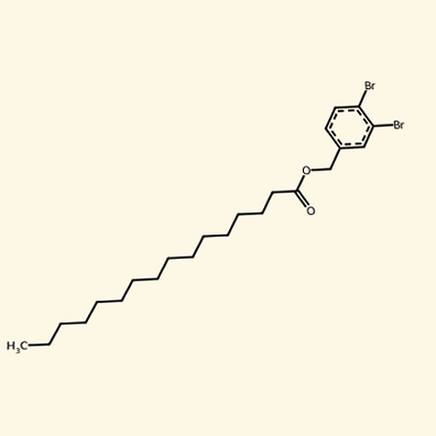 CCCCCCCCCCCCCCCC(=O)OCc1ccc(Br)c(Br)c1